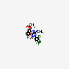 CCc1nc(-c2ccc(C(F)(F)F)cc2Cl)n(C)c(=O)c1N[C@@H]1c2ccccc2C[C@@H]1OC(C)=O